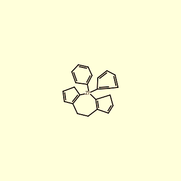 C1=CC2=[C](C1)[Zr]([c]1ccccc1)([c]1ccccc1)[C]1=C(C=CC1)CC2